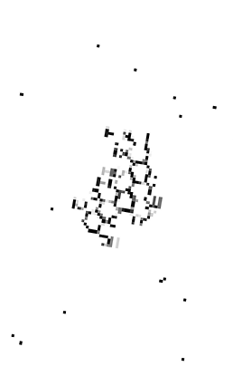 Cc1cc2cc3c(c(O)c2c(=O)n1N)-c1c2c(c4oc5c(c(=O)c4c1O)[C@@H](O)CC[C@H]5O)OCO[C@@H]2C3